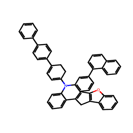 C1=C(c2ccc(-c3ccccc3)cc2)CCC(N(c2cccc(-c3cccc4ccccc34)c2)c2ccccc2C2=Cc3oc4ccccc4c3C2)=C1